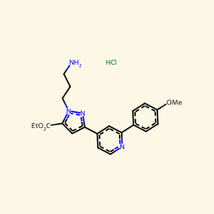 CCOC(=O)c1cc(-c2ccnc(-c3ccc(OC)cc3)c2)nn1CCCN.Cl